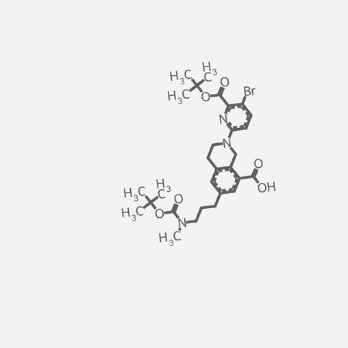 CN(CCCc1cc2c(c(C(=O)O)c1)CN(c1ccc(Br)c(C(=O)OC(C)(C)C)n1)CC2)C(=O)OC(C)(C)C